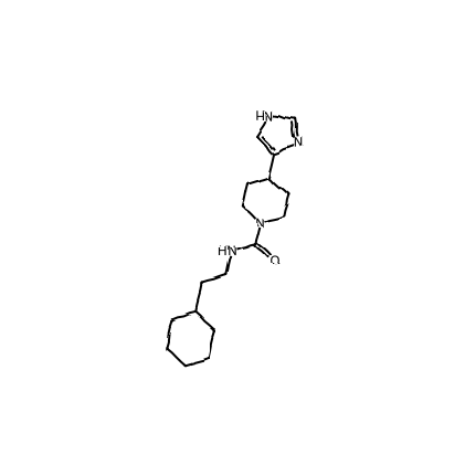 O=C(NCCC1CCCCC1)N1CCC(c2c[nH]cn2)CC1